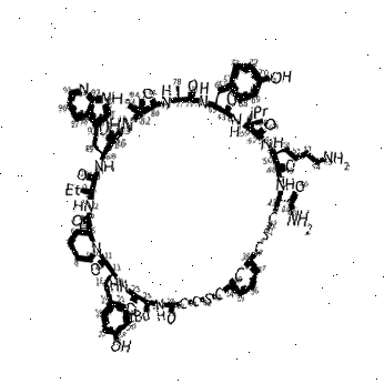 CCC1NC(=O)[C@@H]2CCCCN2C(=O)[C@H](Cc2ccc(O)cc2)NC(=O)C(C(C)(C)C)NC(=O)CCSCc2cccc(c2)CSC[C@@H](C(N)=O)NC(=O)[C@H](CCCCN)NC(=O)[C@](C)(C(C)C)NC(=O)[C@H](Cc2ccc(O)cc2)NC(=O)[C@H](C)NC(=O)C(C)(C)NC(=O)[C@H](Cc2c[nH]c3ncccc23)NC1=O